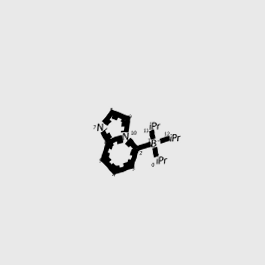 CC(C)[B-](c1cccc2nccn12)(C(C)C)C(C)C